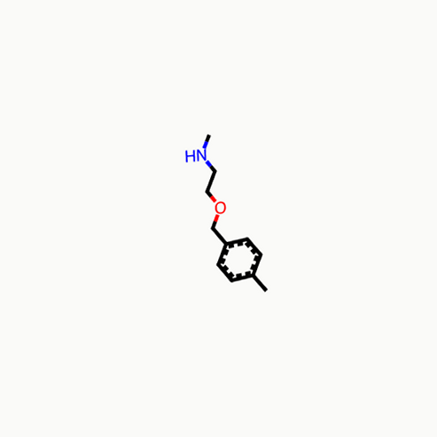 CNCCOCc1ccc(C)cc1